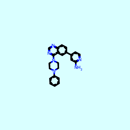 Nc1cc(-c2ccc3ncnc(N4CCN(c5ccccc5)CC4)c3c2)ccn1